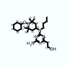 CCCCN(c1nc(N)nc(CCO)n1)C1CC(C)(C)N(OC2CCCCC2)C(C)(C)C1